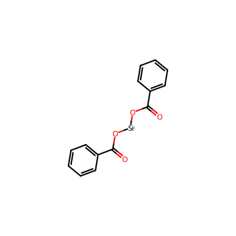 O=C(O[Si]OC(=O)c1ccccc1)c1ccccc1